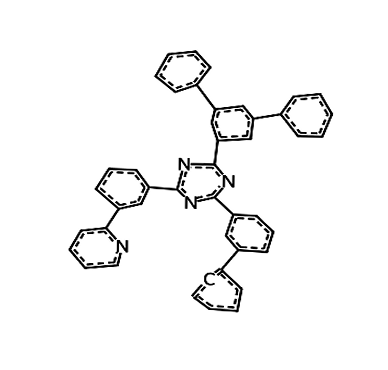 c1ccc(-c2cccc(-c3nc(-c4cc(-c5ccccc5)cc(-c5ccccc5)c4)nc(-c4cccc(-c5ccccn5)c4)n3)c2)cc1